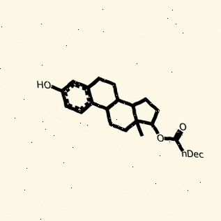 CCCCCCCCCCC(=O)OC1CCC2C3CCc4cc(O)ccc4C3CCC12C